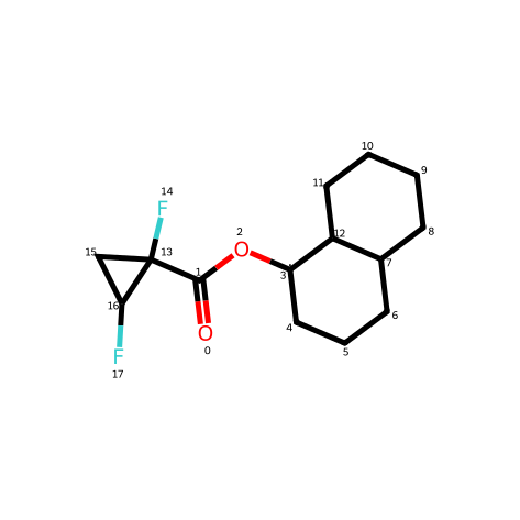 O=C(O[C]1CCCC2CCCCC12)C1(F)CC1F